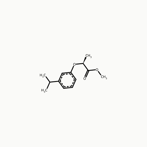 COC(=O)[C@H](C)Oc1cccc(C(C)C)c1